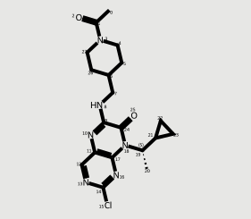 CC(=O)N1CCC(CNc2nc3cnc(Cl)nc3n([C@@H](C)C3CC3)c2=O)CC1